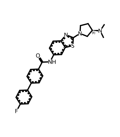 CN(C)[C@@H]1CCN(c2nc3ccc(NC(=O)c4ccc(-c5ccc(F)cc5)cc4)cc3s2)C1